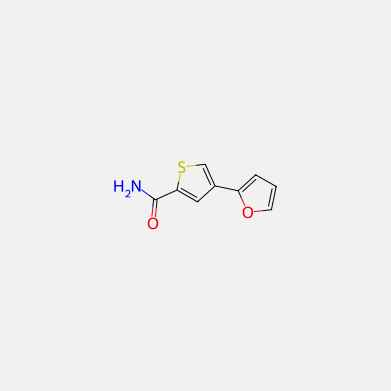 NC(=O)c1cc(-c2ccco2)cs1